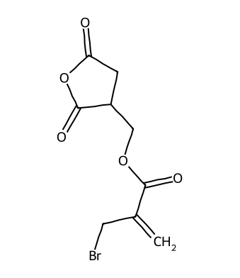 C=C(CBr)C(=O)OCC1CC(=O)OC1=O